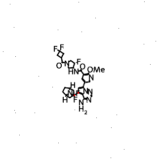 COc1ncc(-c2cc(CN3[C@@H]4CC[C@H]3CC(F)(F)C4)c3c(N)ncnn23)cc1C(=O)N[C@@H]1CN(C(=O)C2CC(F)(F)C2)C[C@@H]1F